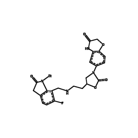 CCN1C(=O)Cc2ccc(F)c(CNCCC3CN(c4ccc5c(c4)NC(=O)CO5)C(=O)O3)c21